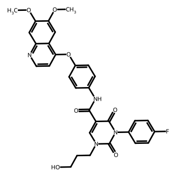 COc1cc2nccc(Oc3ccc(NC(=O)c4cn(CCCO)c(=O)n(-c5ccc(F)cc5)c4=O)cc3)c2cc1OC